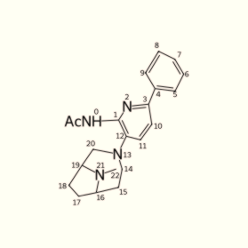 CC(=O)Nc1nc(-c2ccccc2)ccc1N1CCC2CCC(C1)N2C